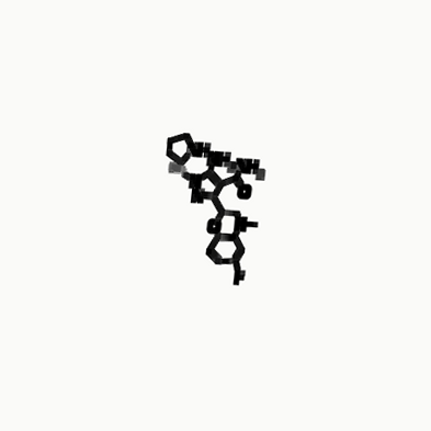 CN1CC(c2nn(C[C@@H]3CCCN3)c(N)c2C(N)=O)Oc2ccc(F)cc21